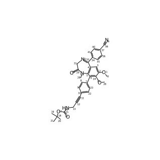 COc1cc2c(c(-c3ccc(C#CCNC(=O)OC(C)(C)C)cc3)c1OC)N(C)C(=O)CN=C2c1ccc(C#N)cc1